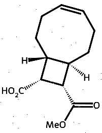 COC(=O)[C@H]1[C@@H]2CC/C=C\CC[C@H]2[C@H]1C(=O)O